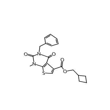 Cn1c(=O)n(Cc2ccccc2)c(=O)c2c(C(=O)OCC3CCC3)csc21